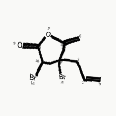 C=CCC1(Br)C(=C)OC(=O)C1Br